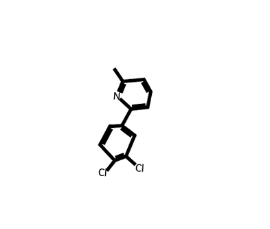 Cc1cccc(-c2ccc(Cl)c(Cl)c2)n1